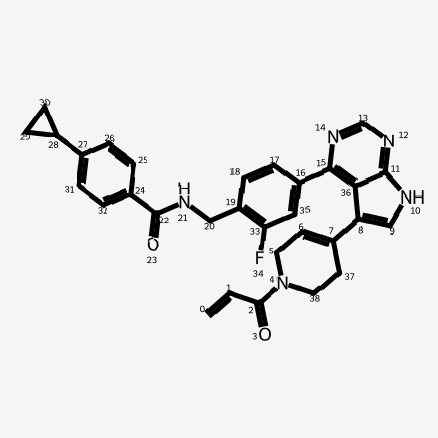 C=CC(=O)N1CC=C(c2c[nH]c3ncnc(-c4ccc(CNC(=O)c5ccc(C6CC6)cc5)c(F)c4)c23)CC1